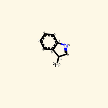 [2H]C1C=Nc2ccccc21